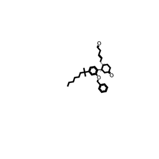 CCCCCCC(C)(C)c1ccc([C@@H]2CC(=O)CC[C@H]2CC=CCC=O)c(OCc2ccccc2)c1